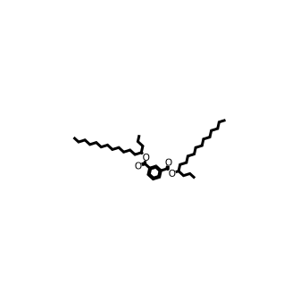 CCCCCCCCCCCCC(CCC)OC(=O)c1cccc(C(=O)OC(CCC)CCCCCCCCCCCC)c1